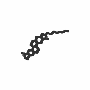 CCCCCCCCc1cc2cc3ccc4c5cc6c(ccn6C)cc5ccc4c3cc2n1C